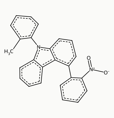 Cc1ccccc1-n1c2ccccc2c2c(-c3ccccc3[N+](=O)[O-])cccc21